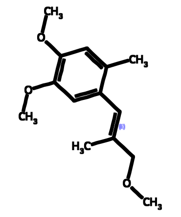 COC/C(C)=C/c1cc(OC)c(OC)cc1C